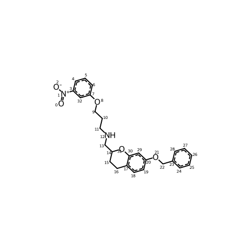 O=[N+]([O-])c1cccc(OCCCNCC2CCc3ccc(OCc4ccccc4)cc3O2)c1